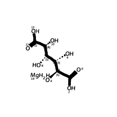 O=C(O)[C@@H](O)[C@@H](O)[C@H](O)[C@@H](O)C(=O)O.[MgH2]